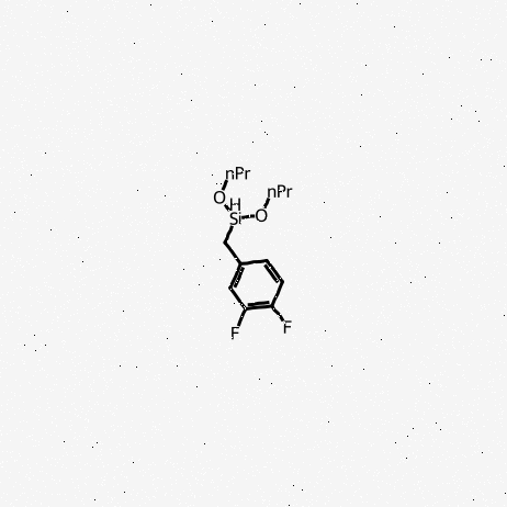 CCCO[SiH](Cc1ccc(F)c(F)c1)OCCC